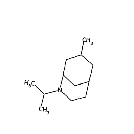 CC1CC2CCN(C(C)C)C(C1)C2